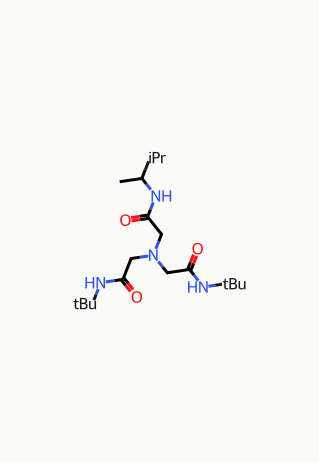 CC(C)C(C)NC(=O)CN(CC(=O)NC(C)(C)C)CC(=O)NC(C)(C)C